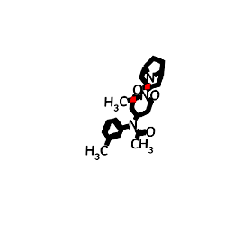 CCOC(=O)N1C2CCC1CC(N1CCC(N(C(C)=O)c3cccc(C)c3)CC1)C2